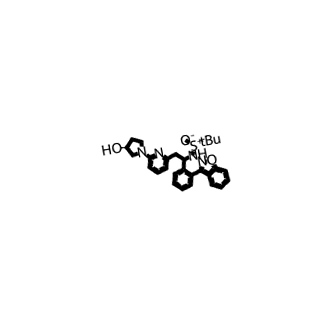 CC(C)(C)[S@+]([O-])NC(Cc1cccc(N2CC[C@@H](O)C2)n1)c1ccccc1-c1noc2ccccc12